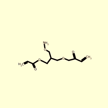 C=CC(=O)COCC(CON)COC(=O)C=C